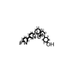 O=C1N([C@H]2CC[C@H](O)CC2)CCC12CCCN(c1ccc(-c3ccc(F)nc3)cn1)C2